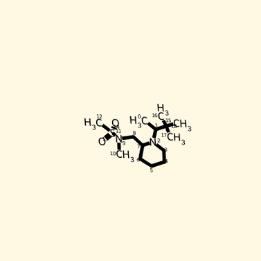 CC(N1CCCCC1CN(C)S(C)(=O)=O)C(C)(C)C